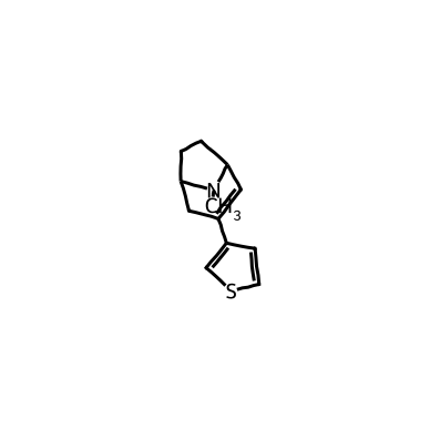 CN1C2C=C(c3ccsc3)CC1CC2